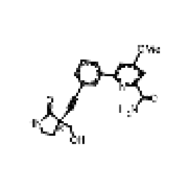 COc1cc(C(N)=O)nc(-c2cccc(C#C[C@@]3(CO)CCNC3=O)c2)c1